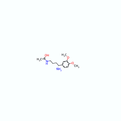 COc1ccc([C@H](N)CCCNB(C)O)cc1OC